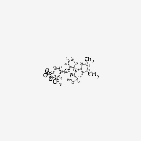 Cc1cc(C)cc([S+](c2ccccc2)c2ccccc2)c1.O=S(=O)([O-])c1ccc(C(F)(F)F)cc1C(F)(F)F